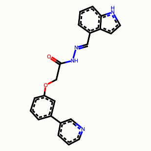 O=C(COc1cccc(-c2cccnc2)c1)NN=Cc1cccc2[nH]ccc12